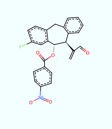 C=C(C=O)[C@@H]1c2ccccc2Cc2ccc(F)cc2[C@H]1OC(=O)c1ccc([N+](=O)[O-])cc1